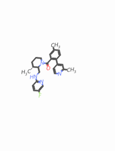 Cc1ccc(-c2ccnc(C)c2)c(C(=O)N2CCC[C@@H](C)C2CNc2ccc(F)cn2)c1